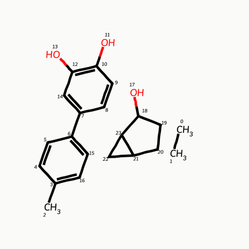 CC.Cc1ccc(-c2ccc(O)c(O)c2)cc1.OC1CCC2CC12